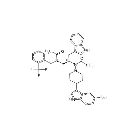 CC(=O)N(Cc1ccccc1C(F)(F)F)C[C@@H](Cc1c[nH]c2ccccc12)N(C(C)=O)N1CCC(c2c[nH]c3ccc(O)cc23)CC1